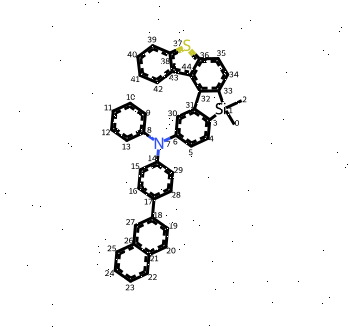 C[Si]1(C)c2ccc(N(c3ccccc3)c3ccc(-c4ccc5ccccc5c4)cc3)cc2-c2c1ccc1sc3ccccc3c21